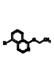 CCOc1nccc2c(Br)cccc12